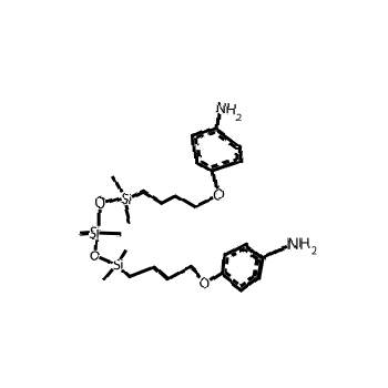 C[Si](C)(CCCCOc1ccc(N)cc1)O[Si](C)(C)O[Si](C)(C)CCCCOc1ccc(N)cc1